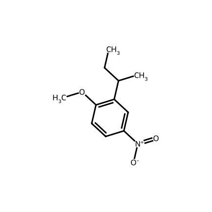 CCC(C)c1cc([N+](=O)[O-])ccc1OC